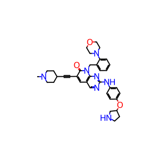 CN1CCC(C#Cc2cc3cnc(Nc4ccc(OC5CCNC5)cc4)nc3n(Cc3ccccc3N3CCOCC3)c2=O)CC1